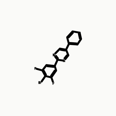 Fc1cc(-c2ncc(-c3ccccc3)cn2)cc(F)c1Br